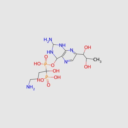 CC(O)C(O)c1cnc2c(n1)NC(N)NC2OP(=O)(O)C(O)(CCCN)P(=O)(O)O